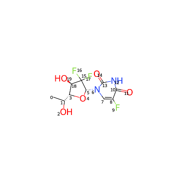 CC(O)[C@H]1O[C@@H](n2cc(F)c(=O)[nH]c2=O)C(F)(F)[C@@H]1O